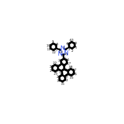 c1ccc(-c2nc(-c3ccccc3)nc(-c3ccc4c(c3)c3ccccc3c3c5ccccc5c5ccccc5c43)n2)cc1